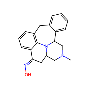 CN1CC2CC(=NO)c3cccc4c3N2C(C1)c1ccccc1C4